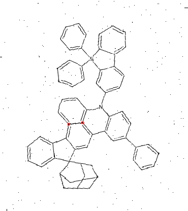 c1ccc(-c2ccc(N(c3ccccc3)c3ccc4c(c3)[Si](c3ccccc3)(c3ccccc3)c3ccccc3-4)c(-c3ccc4c(c3)C3(c5ccccc5-4)C4CC5CC(C4)CC3C5)c2)cc1